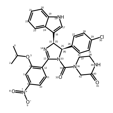 CC(C)Oc1cc([N+](=O)[O-])ccc1C1=N[C@@H](c2c[nH]c3ccccc23)[C@@H](c2ccc(Cl)cc2)N1C(=O)N1CCNC(=O)C1